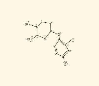 CC(C)(C)N1CCC(Oc2ccc(C(F)(F)F)cc2Cl)CC1C(=O)O